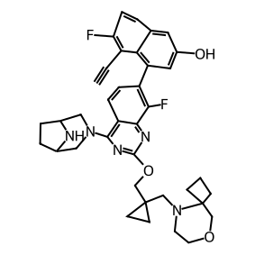 C#Cc1c(F)ccc2cc(O)cc(-c3ccc4c(N5CC6CCC(C5)N6)nc(OCC5(CN6CCOCC67CCC7)CC5)nc4c3F)c12